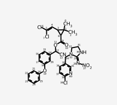 CC1(C)C(C=C(Cl)Cl)C1C(=O)OC(C#N)c1cccc(Oc2ccccc2)c1.O=[N+]([O-])/N=C1\NCCN1Cc1ccc(Cl)nc1